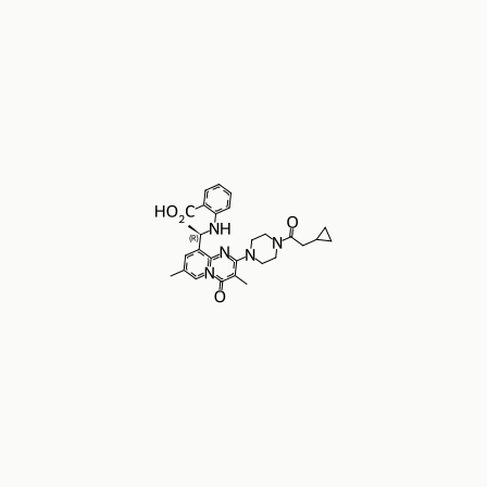 Cc1cc([C@@H](C)Nc2ccccc2C(=O)O)c2nc(N3CCN(C(=O)CC4CC4)CC3)c(C)c(=O)n2c1